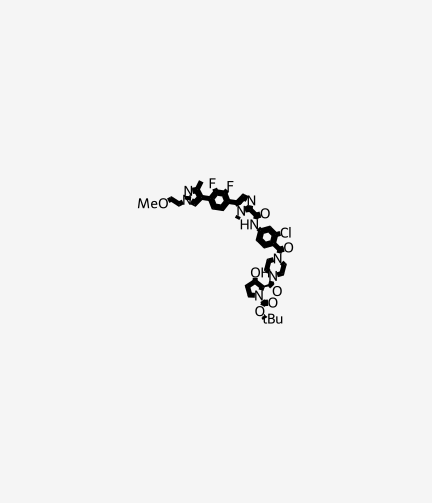 COCCn1cc(-c2ccc(-c3cnc(C(=O)Nc4ccc(C(=O)N5CCN(C(=O)[C@@H]6C(O)CCN6C(=O)OC(C)(C)C)CC5)c(Cl)c4)n3C)c(F)c2F)c(C)n1